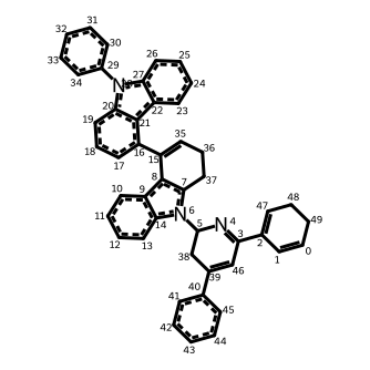 C1=CC(C2=NC(n3c4c(c5ccccc53)C(c3cccc5c3c3ccccc3n5-c3ccccc3)=CCC4)CC(c3ccccc3)=C2)=CCC1